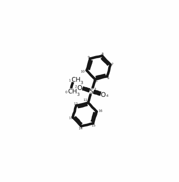 CC.O=S(=O)(c1ccccc1)c1ccccc1